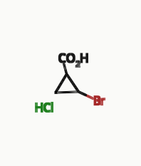 Cl.O=C(O)C1CC1Br